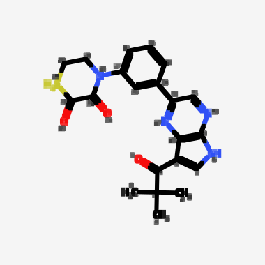 CC(C)(C)C(=O)c1c[nH]c2ncc(-c3cccc(N4CC[SH4]C(=O)C4=O)c3)nc12